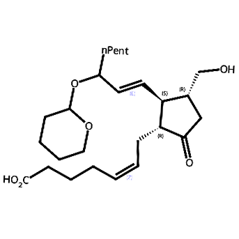 CCCCCC(/C=C/[C@H]1[C@H](CO)CC(=O)[C@@H]1C/C=C\CCCC(=O)O)OC1CCCCO1